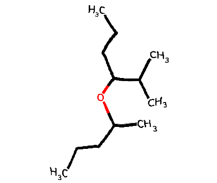 CCCC(C)OC(CCC)C(C)C